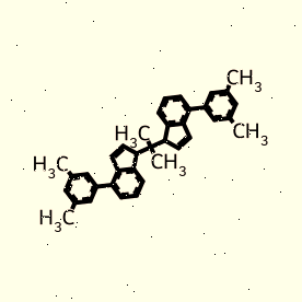 Cc1cc(C)cc(-c2cccc3c2C=CC3C(C)(C)C2C=Cc3c(-c4cc(C)cc(C)c4)cccc32)c1